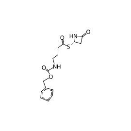 O=C1C[C@H](SC(=O)CCCNC(=O)OCc2ccccc2)N1